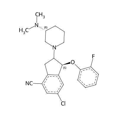 CN(C)[C@@H]1CCCN(C2Cc3c(C#N)cc(Cl)cc3[C@@H]2Oc2ccccc2F)C1